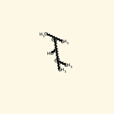 CCCCCCCCC(CCCCCC)C(=O)OCCCCCCN(CCCO)CCCCCCOC(=O)C(CCCCCC)CCCCCC